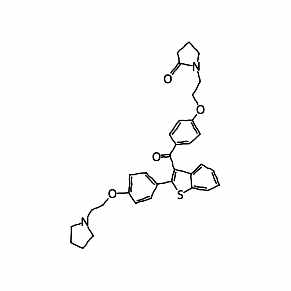 O=C(c1ccc(OCCN2CCCC2=O)cc1)c1c(-c2ccc(OCCN3CCCC3)cc2)sc2ccccc12